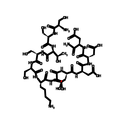 C[C@@H](O)[C@H](NC(=O)[C@H](CO)NC(=O)[C@H](N)CO)C(=O)N[C@@H](CO)C(=O)N[C@H](CO)C(=O)N[C@@H](CCCCN)C(=O)N[C@H](CO)C(=O)N[C@@H](CC(=O)O)C(=O)N[C@H](CC(=O)O)C(=O)N[C@@H](CC(=O)O)C(=O)N[C@H](CC(=O)O)C(N)=O